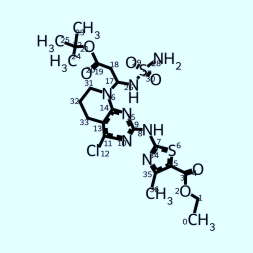 CCOC(=O)c1sc(Nc2nc(Cl)c3c(n2)N(C(CC(=O)OC(C)(C)C)NS(N)(=O)=O)CCC3)nc1C